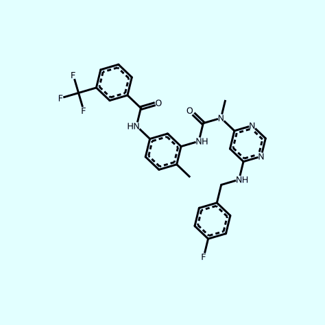 Cc1ccc(NC(=O)c2cccc(C(F)(F)F)c2)cc1NC(=O)N(C)c1cc(NCc2ccc(F)cc2)ncn1